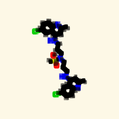 Cc1cc(NCCCN(CCCNc2cc(C)nc3ccc(Cl)cc23)S(C)(=O)=O)c2cc(Cl)ccc2n1